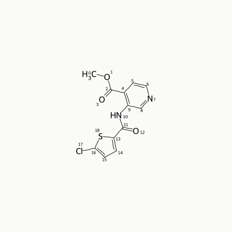 COC(=O)c1ccncc1NC(=O)c1ccc(Cl)s1